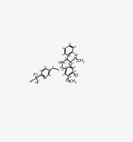 CNC(=O)[C@@H](N[C@@H](CCc1ccc(C(F)(F)F)nc1)c1ccc(Cl)c(OC)c1)c1ccccc1